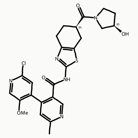 COc1cnc(Cl)cc1-c1cc(C)ncc1C(=O)Nc1nc2c(s1)C[C@H](C(=O)N1CC[C@@H](O)C1)CC2